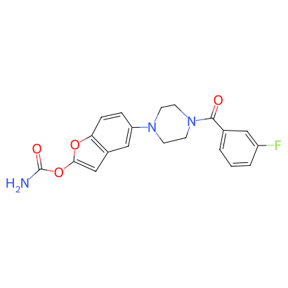 NC(=O)Oc1cc2cc(N3CCN(C(=O)c4cccc(F)c4)CC3)ccc2o1